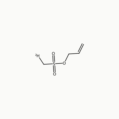 [2H]CS(=O)(=O)OCC=C